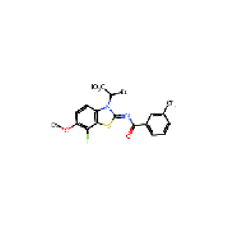 CCOc1ccc2c(s/c(=N\C(=O)c3cccc(C(F)(F)F)c3)n2C(CC)C(=O)O)c1F